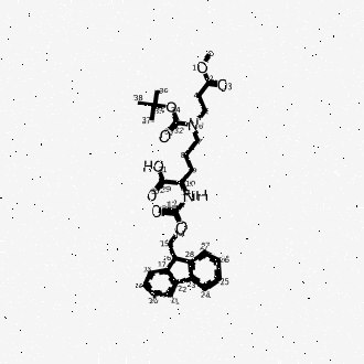 COC(=O)CCN(CCCC(NC(=O)OCC1c2ccccc2-c2ccccc21)C(=O)O)C(=O)OC(C)(C)C